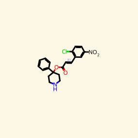 O=C(/C=C/c1cc([N+](=O)[O-])ccc1Cl)OC1(c2ccccc2)CCNCC1